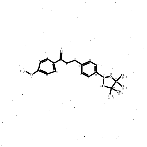 COc1ccc(C(=O)CCc2ccc(B3OC(C)(C)C(C)(C)O3)cc2)cc1